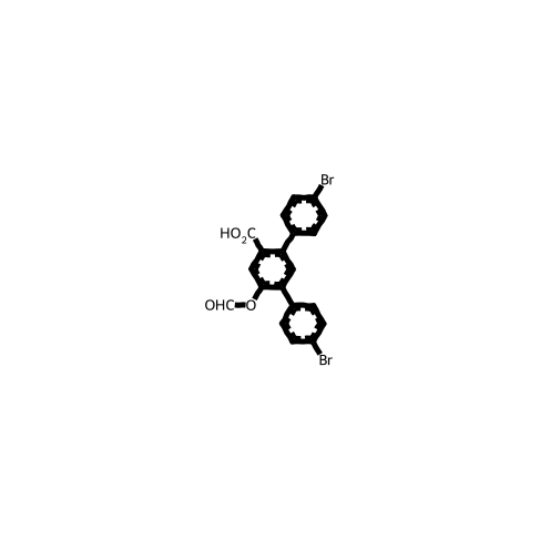 O=COc1cc(C(=O)O)c(-c2ccc(Br)cc2)cc1-c1ccc(Br)cc1